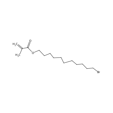 C=C(C)C(=O)OCCCCCCCCCCCBr